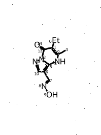 CCc1c(C)[nH]c2c(C=NO)cnn2c1=O